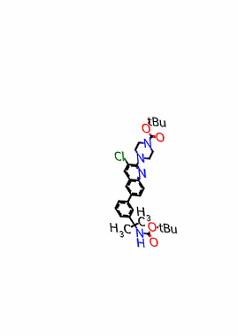 CC(C)(C)OC(=O)NC(C)(C)c1cccc(-c2ccc3nc(N4CCN(C(=O)OC(C)(C)C)CC4)c(Cl)cc3c2)c1